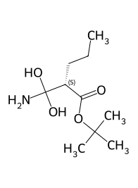 CCC[C@H](C(=O)OC(C)(C)C)C(N)(O)O